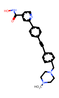 O=C(NO)c1ccnc(-c2ccc(C#Cc3ccc(CN4CCN(C(=O)O)CC4)cc3)cc2)c1